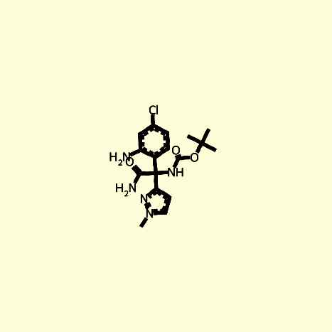 Cn1ccc(C(NC(=O)OC(C)(C)C)(C(N)=O)c2ccc(Cl)cc2N)n1